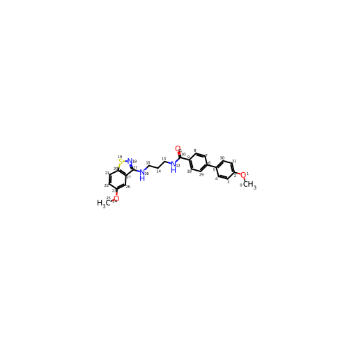 COc1ccc(-c2ccc(C(=O)NCCCNc3nsc4ccc(OC)cc34)cc2)cc1